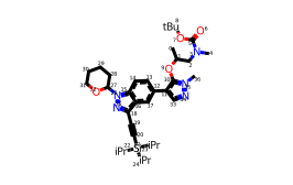 CC(CN(C)C(=O)OC(C)(C)C)Oc1c(-c2ccc3c(c2)c(C#C[Si](C(C)C)(C(C)C)C(C)C)nn3C2CCCCO2)cnn1C